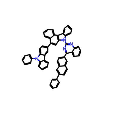 c1ccc(-c2ccc3cc(-c4nc(-n5c6ccccc6c6c7ccccc7c(-c7ccc8c(c7)c7ccccc7n8-c7ccccc7)cc65)nc5ccccc45)ccc3c2)cc1